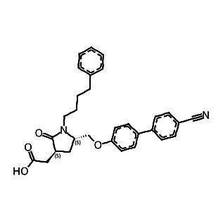 N#Cc1ccc(-c2ccc(OC[C@@H]3C[C@@H](CC(=O)O)C(=O)N3CCCCc3ccccc3)cc2)cc1